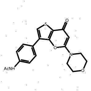 CC(=O)Nc1ccc(-c2csc3c(=O)cc(N4CCOCC4)oc23)cc1